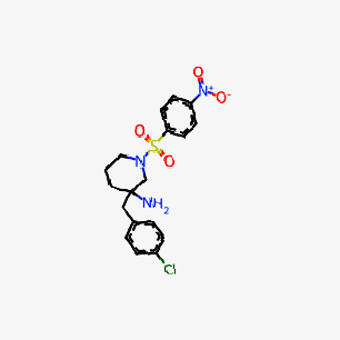 NC1(Cc2ccc(Cl)cc2)CCCN(S(=O)(=O)c2ccc([N+](=O)[O-])cc2)C1